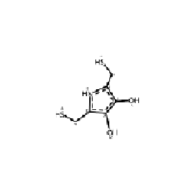 Oc1c(CS)[nH]c(CS)c1O